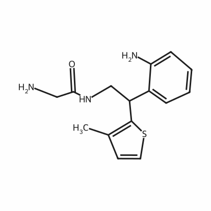 Cc1ccsc1C(CNC(=O)CN)c1ccccc1N